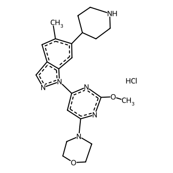 COc1nc(N2CCOCC2)cc(-n2ncc3cc(C)c(C4CCNCC4)cc32)n1.Cl